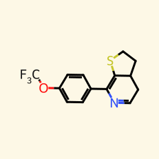 FC(F)(F)Oc1ccc(C2=C3SCCC3CC=N2)cc1